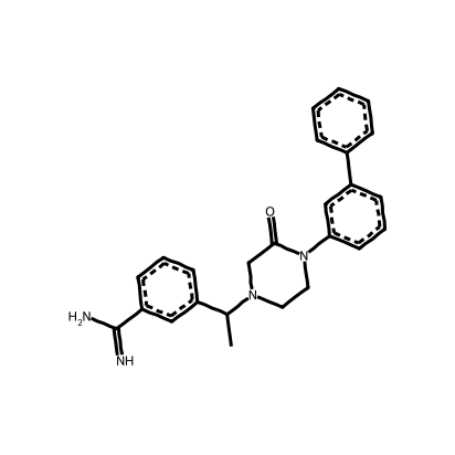 CC(c1cccc(C(=N)N)c1)N1CCN(c2cccc(-c3ccccc3)c2)C(=O)C1